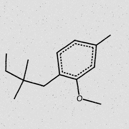 CCC(C)(C)Cc1ccc(C)cc1OC